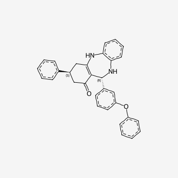 O=C1C[C@@H](c2ccccc2)CC2=C1[C@@H](c1cccc(Oc3ccccc3)c1)Nc1ccccc1N2